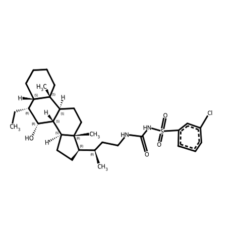 CC[C@H]1[C@@H](O)[C@@H]2[C@H](CC[C@]3(C)[C@@H]([C@H](C)CCNC(=O)NS(=O)(=O)c4cccc(Cl)c4)CC[C@@H]23)[C@@]2(C)CCCC[C@@H]12